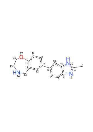 Cc1nc2ccc(-c3ccc4c(c3)CNCCO4)cc2[nH]1